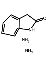 N.N.O=C1Cc2ccccc2N1